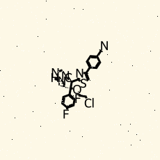 C[C@@H](c1nc(-c2ccc(C#N)cc2)cs1)[C@@](Cn1cncn1)(OCCCl)c1ccc(F)cc1F